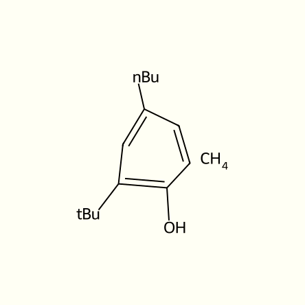 C.CCCCc1ccc(O)c(C(C)(C)C)c1